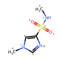 CNS(=O)(=O)c1cn(C)cn1